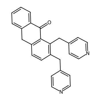 O=C1c2ccccc2Cc2ccc(Cc3ccncc3)c(Cc3ccncc3)c21